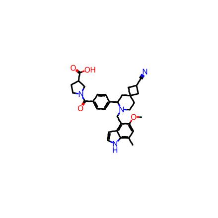 COc1cc(C)c2[nH]ccc2c1CN1CCC2(CC(C#N)C2)CC1c1ccc(C(=O)N2CCC(C(=O)O)C2)cc1